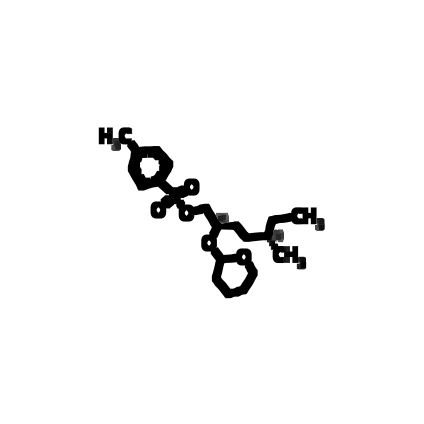 CC[C@H](C)CC[C@H](COS(=O)(=O)c1ccc(C)cc1)OC1CCCCO1